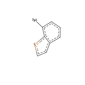 [2H]c1cccc2ccsc12